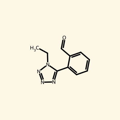 CCn1nnnc1-c1ccccc1C=O